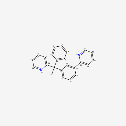 CC(c1ccccc1)(c1cccc(-c2ccccn2)c1)c1ccccn1